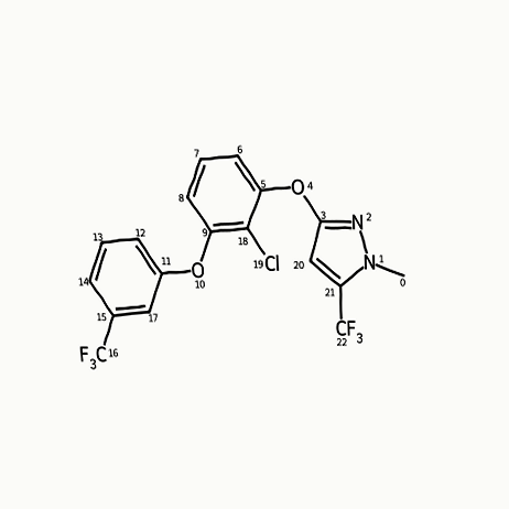 Cn1nc(Oc2cccc(Oc3cccc(C(F)(F)F)c3)c2Cl)cc1C(F)(F)F